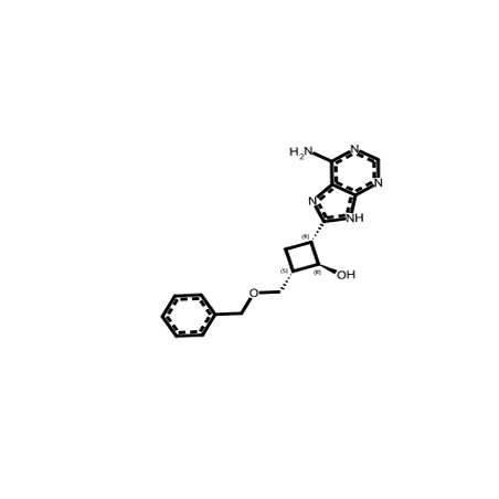 Nc1ncnc2[nH]c([C@H]3C[C@@H](COCc4ccccc4)[C@@H]3O)nc12